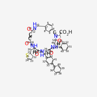 O=C(O)CN1Cc2ccc(cc2)CNC(=O)CCC(=O)N[C@H](CC2CC=CS2)C(=O)N[C@@H](Cc2ccc(-c3ccccc3)cc2)C(=O)N[C@H](Cc2ccccc2)C1=O